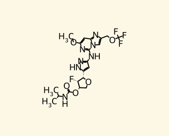 COc1cc2nc(COC(F)(F)F)cn2c(Nc2cc([C@@H]3OC[C@H](OC(=O)NC(C)C)[C@@H]3F)[nH]n2)n1